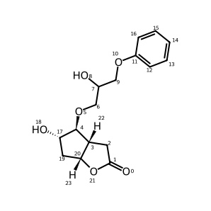 O=C1C[C@H]2[C@H](OCC(O)COc3ccccc3)[C@@H](O)C[C@H]2O1